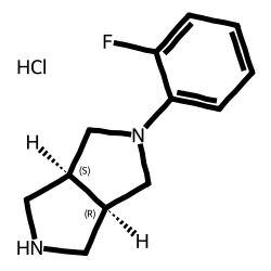 Cl.Fc1ccccc1N1C[C@H]2CNC[C@H]2C1